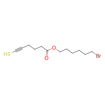 O=C(CCCC#CS)OCCCCCCBr